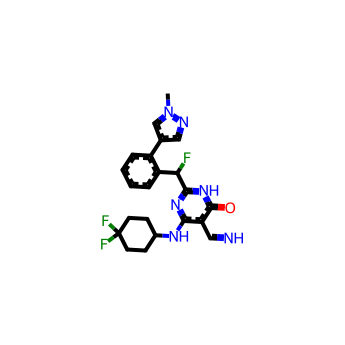 Cn1cc(-c2ccccc2C(F)c2nc(NC3CCC(F)(F)CC3)c(C=N)c(=O)[nH]2)cn1